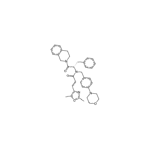 Cc1nc(/C=C/C(=O)N(Cc2ccc(N3CCOCC3)cc2)[C@@H](Cc2ccccc2)C(=O)N2CCc3ccccc3C2)c(C)o1